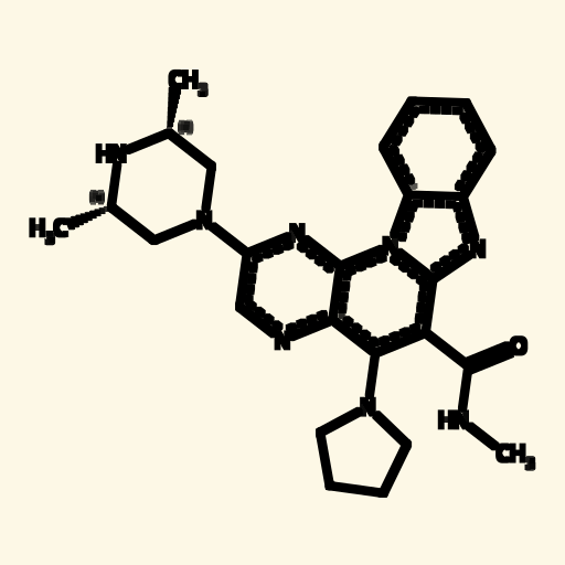 CNC(=O)c1c(N2CCCC2)c2ncc(N3C[C@@H](C)N[C@@H](C)C3)nc2n2c1nc1ccccc12